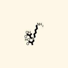 CC(CN(CCCCCCN)CC(C)C(=O)O)C(=O)O